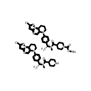 CN(C(=O)C1CCN(C(=O)OC(C)(C)C)CC1)[C@@H](c1ccc(N2CCCc3c2cnc2cc(Cl)nn32)cc1)C(F)(F)F.CN(C(=O)C1CCNCC1)[C@@H](c1ccc(N2CCCc3c2cnc2cc(Cl)nn32)cc1)C(F)(F)F